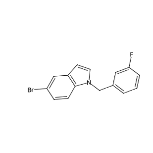 Fc1cccc(Cn2ccc3cc(Br)ccc32)c1